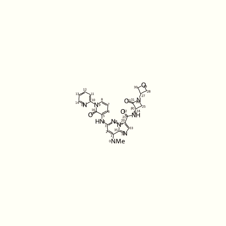 CNc1cc(Nc2cccn(-c3ccccn3)c2=O)nn2c(C(=O)N[C@@H]3CN(C4COC4)C3=O)cnc12